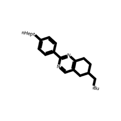 CCCCCCCc1ccc(-c2ncc3c(n2)CCC(CC(C)CC)C3)cc1